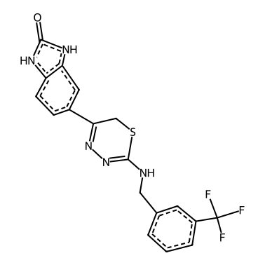 O=c1[nH]c2ccc(C3=NN=C(NCc4cccc(C(F)(F)F)c4)SC3)cc2[nH]1